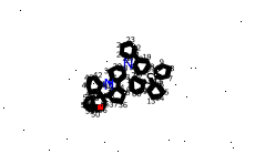 c1ccc([Si](c2ccccc2)(c2ccccc2)c2ccc3c4ccccc4n(-c4ccc5c(c4)c4cccc6c4n5-c4ccccc4C64C5CC6CC(C5)CC4C6)c3c2)cc1